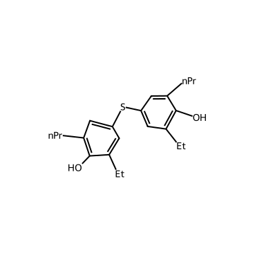 CCCc1cc(Sc2cc(CC)c(O)c(CCC)c2)cc(CC)c1O